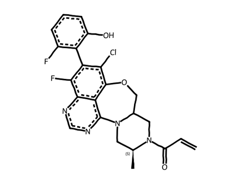 C=CC(=O)N1CC2COc3c(Cl)c(-c4c(O)cccc4F)c(F)c4ncnc(c34)N2C[C@@H]1C